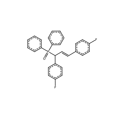 O=P(c1ccccc1)(c1ccccc1)C(C=Cc1ccc(F)cc1)c1ccc(F)cc1